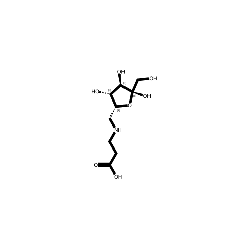 O=C(O)CCNC[C@H]1O[C@@](O)(CO)[C@H](O)[C@H]1O